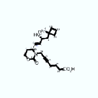 CCCC1(CC(O)/C=C/[C@H]2CCOC(=O)N2CC#CCCCC(=O)O)CCC1